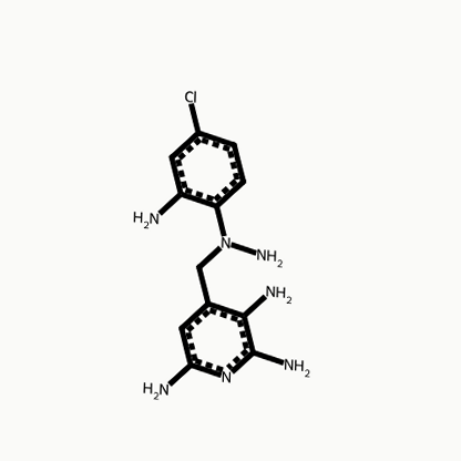 Nc1cc(CN(N)c2ccc(Cl)cc2N)c(N)c(N)n1